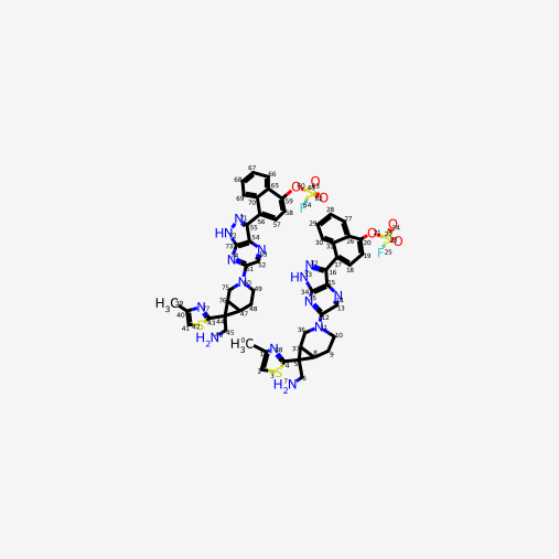 Cc1csc(C2(CN)C3CCN(c4cnc5c(-c6ccc(OS(=O)(=O)F)c7ccccc67)n[nH]c5n4)CC32)n1.Cc1csc(C2(CN)C3CCN(c4cnc5c(-c6ccc(OS(=O)(=O)F)c7ccccc67)n[nH]c5n4)CC32)n1